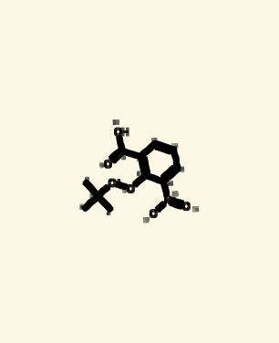 CC(C)(C)OOc1c(C(=O)O)cccc1[N+](=O)[O-]